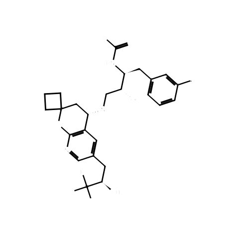 CC(=O)N[C@@H](Cc1cccc(F)c1)[C@H](O)CN[C@H]1CC2(CCC2)Oc2ncc(C[C@@H](C)C(F)(F)F)cc21